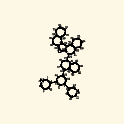 c1cncc(-c2cc(-c3cccnc3)cc(-c3ccc(-c4cc5ccccc5c5c4oc4ccc6ccccc6c45)c4ccccc34)c2)c1